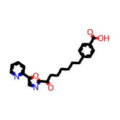 O=C(O)c1ccc(CCCCCCC(=O)c2ncc(-c3ccccn3)o2)cc1